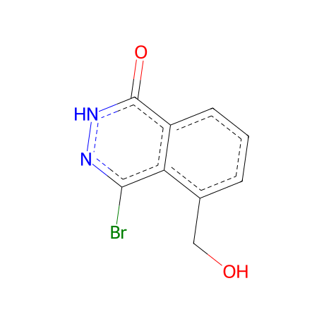 O=c1[nH]nc(Br)c2c(CO)cccc12